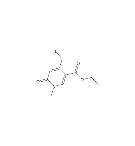 CCOC(=O)c1cn(C)c(=O)cc1CI